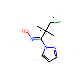 CC(C)(CF)C(=NO)n1cccn1